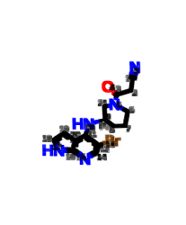 N#CCC(=O)N1CCC[C@@H](Nc2c(Br)cnc3[nH]ccc23)C1